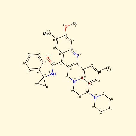 CCOc1cc2nc(-c3cccc(C(F)(F)F)c3)c(CN3CCC(N4CCCCC4)CC3)c(C(=O)NC3(c4ccccc4)CC3)c2cc1OC